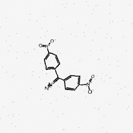 [N-]=[N+]=C(c1ccc([N+](=O)[O-])cc1)c1ccc([N+](=O)[O-])cc1